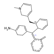 C=c1cccc/c1=C(\C1=CC=C(N)CC1)C1C=CC=C[C@@H]1CC1=CC=CN(C)C1